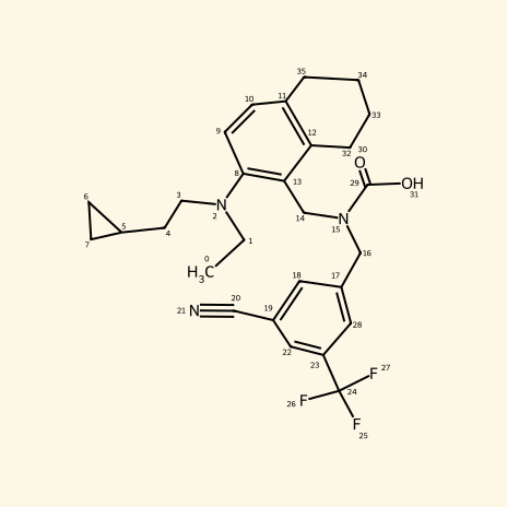 CCN(CCC1CC1)c1ccc2c(c1CN(Cc1cc(C#N)cc(C(F)(F)F)c1)C(=O)O)CCCC2